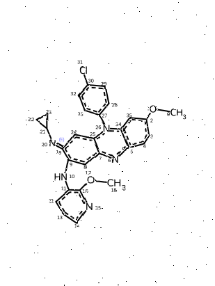 COc1ccc2nc3cc(Nc4cccnc4OC)/c(=N/C4CC4)cc-3n(-c3ccc(Cl)cc3)c2c1